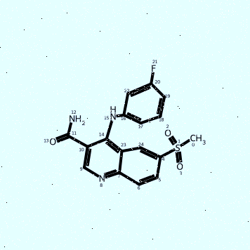 CS(=O)(=O)c1ccc2ncc(C(N)=O)c(Nc3cccc(F)c3)c2c1